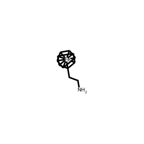 NCC[C]12[CH]3[CH]4[CH]5[CH]1[Fe]45321678[CH]2[CH]1[CH]6[CH]7[CH]28